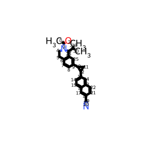 CC(=O)N1CCc2ccc(C3CC3c3ccc4cc(C#N)ccc4c3)cc2C1C(C)C